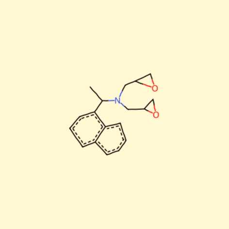 CC(c1cccc2ccccc12)N(CC1CO1)CC1CO1